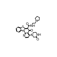 O=C1CN(c2ccnc3c2c(=O)c(C(=O)NCCN2CCCC2)c2sc4ccccc4n23)CCN1